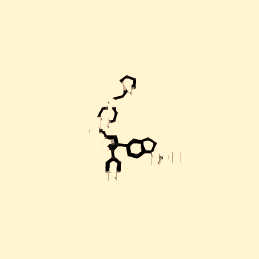 O=C(c1cc(-c2ccc3c(c2)CCC3=NO)c(-c2ccncc2)o1)N1CCN(CCN2CCCC2)CC1